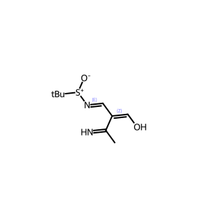 CC(=N)C(=C\O)/C=N/[S+]([O-])C(C)(C)C